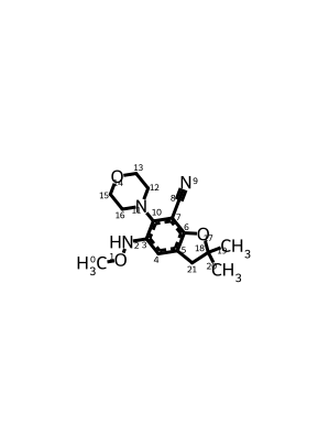 CONc1cc2c(c(C#N)c1N1CCOCC1)OC(C)(C)C2